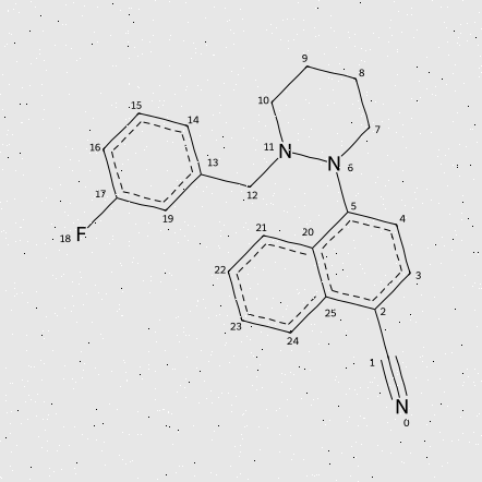 N#Cc1ccc(N2CCCCN2Cc2cccc(F)c2)c2ccccc12